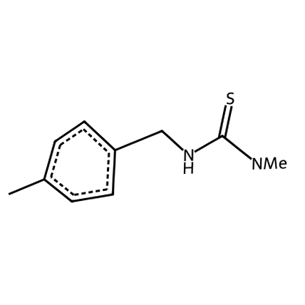 CNC(=S)NCc1ccc(C)cc1